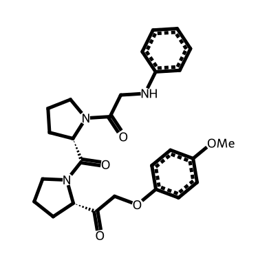 COc1ccc(OCC(=O)[C@@H]2CCCN2C(=O)[C@@H]2CCCN2C(=O)CNc2ccccc2)cc1